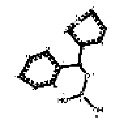 OP(O)OC(c1ccccc1)c1ccccc1